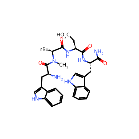 CCCC[C@@H](C(=O)N[C@@H](CC(=O)O)C(=O)N[C@@H](Cc1c[nH]c2ccccc12)C(N)=O)N(C)C(=O)[C@@H](N)Cc1c[nH]c2ccccc12